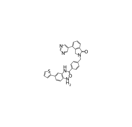 Nc1ccc(-c2cccs2)cc1NC(=O)c1ccc(CN2Cc3c(cccc3-c3cncnc3)C2=O)cc1